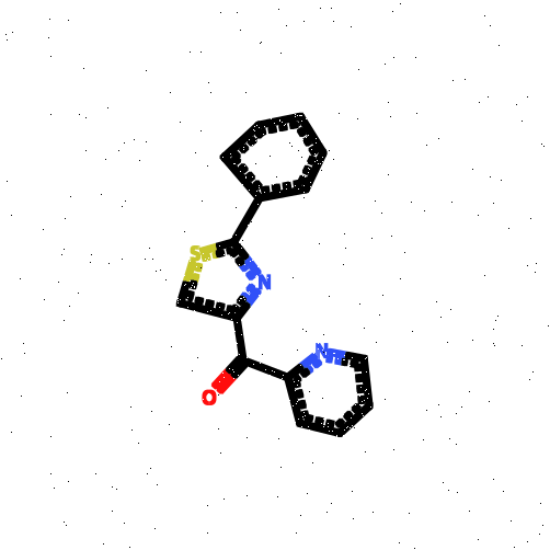 O=C(c1ccccn1)c1csc(-c2ccccc2)n1